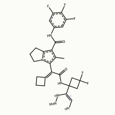 CCC/C=C(\NNC)C1(NC(=O)C(=C2CCC2)c2c(C)c(C(=O)Nc3cc(F)c(F)c(F)c3)c3n2CCC3)CC(F)(F)C1